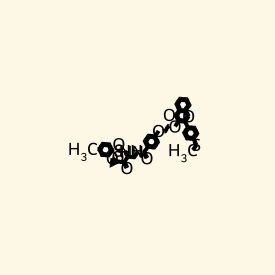 CSc1ccc(-c2oc3ccccc3c(=O)c2OCCOc2ccc(C(=O)NCC(NS(=O)(=O)c3ccc(C)cc3)C(=O)C3CO3)cc2)cc1